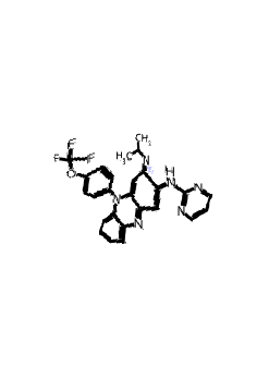 CC(C)/N=c1\cc2n(-c3ccc(OC(F)(F)F)cc3)c3ccccc3nc-2cc1Nc1ncccn1